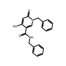 O=C(NCc1ccccc1)c1cn(Cc2ccccc2)c(=O)cc1O